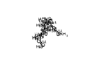 NCC(=O)NCC(=O)N[C@@H](CO)C(=O)NCC(=O)N[C@@H](CO)C(=O)N[C@@H](CO)C(=O)N[C@@H](CO)C(=O)NCC(=O)N[C@@H](CO)C(=O)NCC(=O)N[C@@H](CO)C(=O)NCC(=O)NCC(=O)O